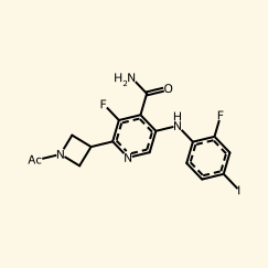 CC(=O)N1CC(c2ncc(Nc3ccc(I)cc3F)c(C(N)=O)c2F)C1